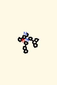 C1=CC2C(c3cccc(N(c4ccc(-c5ccc6ccccc6c5)cc4)c4c5cccnc5cc5c4oc4ccccc45)c3)=Cc3ccccc3C2C=C1